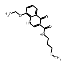 CCOc1cccc2c(=O)c(C(=O)NCCCOC)c[nH]c12